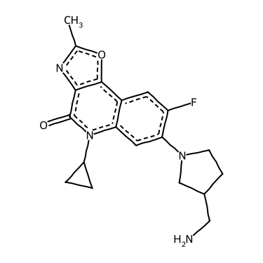 Cc1nc2c(=O)n(C3CC3)c3cc(N4CCC(CN)C4)c(F)cc3c2o1